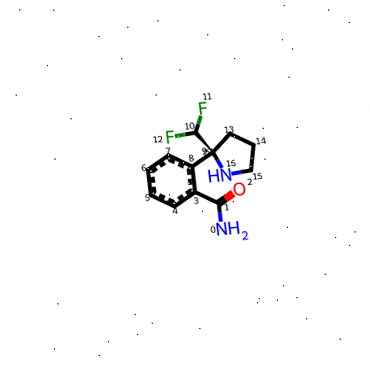 NC(=O)c1ccccc1[C@]1(C(F)F)CCCN1